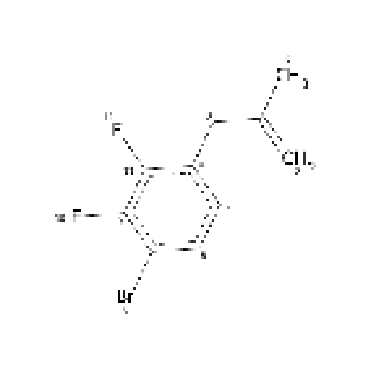 C=C(C)Cc1ccc(Br)c(F)c1F